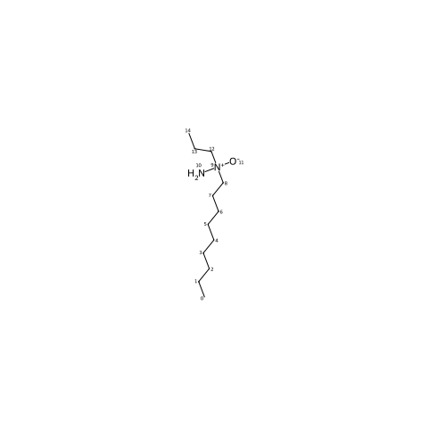 CCCCCCCCC[N+](N)([O-])CCC